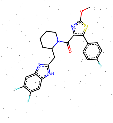 COc1nc(C(=O)N2CCCCC2Cc2nc3cc(F)c(F)cc3[nH]2)c(-c2ccc(F)cc2)s1